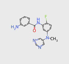 CN(c1cncnc1)c1ccc(F)c(NC(=O)c2cccc(N)c2)c1